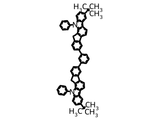 CC(C)(C)c1ccc2c(c1)c1ccc3c(c1n2-c1ccccc1)Cc1ccc(-c2cccc(-c4ccc5c(c4)-c4ccc6c7cc(C(C)(C)C)ccc7n(-c7ccccc7)c6c4C5)c2)cc1-3